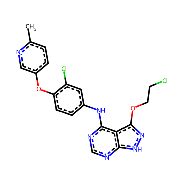 Cc1ccc(Oc2ccc(Nc3ncnc4[nH]nc(OCCCl)c34)cc2Cl)cn1